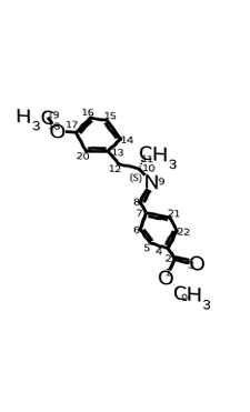 COC(=O)c1ccc(C=N[C@@H](C)Cc2cccc(OC)c2)cc1